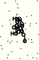 COCCc1ccc(OCC(O)CN2CCC(N3CCCNC3=O)CC2)cc1.O=C(O)/C=C/C(=O)O